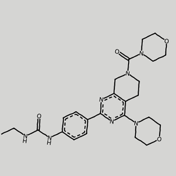 CCNC(=O)Nc1ccc(-c2nc3c(c(N4CCOCC4)n2)CCN(C(=O)N2CCOCC2)C3)cc1